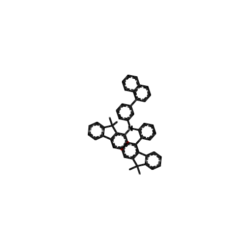 CC1(C)c2ccccc2-c2c(-c3ccccc3N(c3cccc(-c4cccc5ccccc45)c3)c3cccc4c3C(C)(C)c3ccccc3-4)cccc21